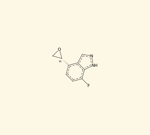 Fc1ccc([C@@H]2CO2)c2cn[nH]c12